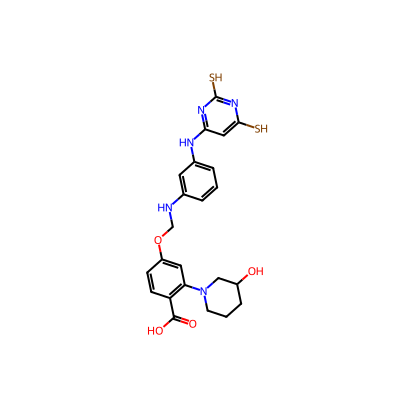 O=C(O)c1ccc(OCNc2cccc(Nc3cc(S)nc(S)n3)c2)cc1N1CCCC(O)C1